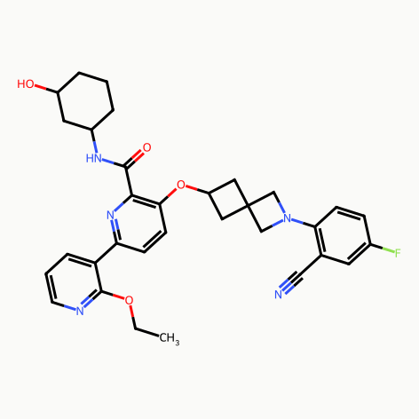 CCOc1ncccc1-c1ccc(OC2CC3(C2)CN(c2ccc(F)cc2C#N)C3)c(C(=O)NC2CCCC(O)C2)n1